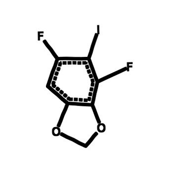 Fc1cc2c(c(F)c1I)OCO2